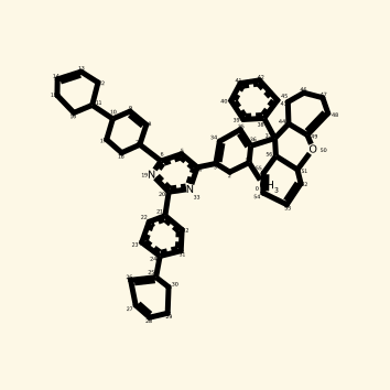 CC1CC(c2cc(C3C=CC(C4CC=CCC4)CC3)nc(-c3ccc(C4=CC=CCC4)cc3)n2)=CC=C1C1(c2ccccc2)C2CCCC=C2OC2C=CC=CC21